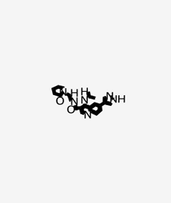 CC(C)Nc1c(C(=O)NCCN2CCCCC2=O)cnc2ccc(-c3cn[nH]c3)cc12